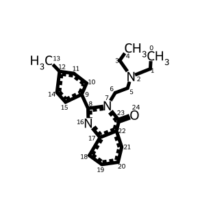 CCN(CC)CCn1c(-c2ccc(C)cc2)nc2ccccc2c1=O